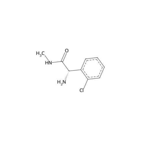 CNC(=O)[C@@H](N)c1ccccc1Cl